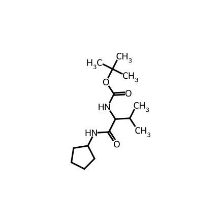 CC(C)C(NC(=O)OC(C)(C)C)C(=O)NC1CCCC1